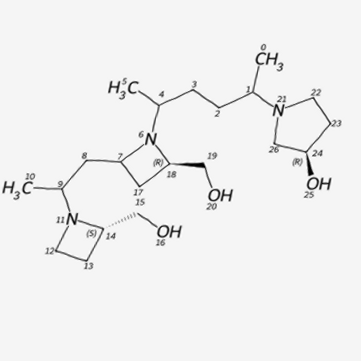 CC(CCC(C)N1C(CC(C)N2CC[C@H]2CO)C[C@@H]1CO)N1CC[C@@H](O)C1